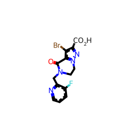 O=C(O)c1nn2c(c1Br)C(=O)N(Cc1ncccc1F)CC2